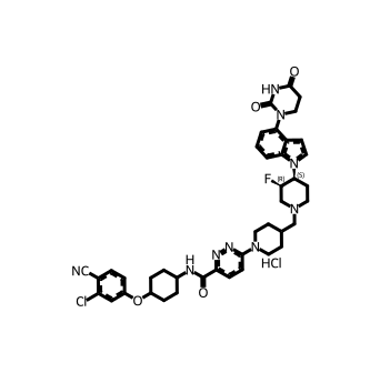 Cl.N#Cc1ccc(OC2CCC(NC(=O)c3ccc(N4CCC(CN5CC[C@H](n6ccc7c(N8CCC(=O)NC8=O)cccc76)[C@H](F)C5)CC4)nn3)CC2)cc1Cl